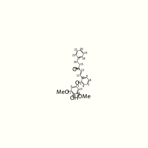 COc1cc(Oc2ccccc2C=CC(=O)CCc2ccccc2)cc(OC)c1O